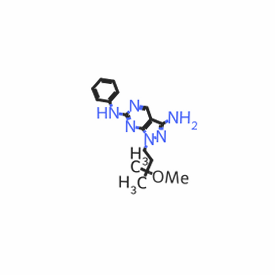 COC(C)(C)CCn1nc(N)c2cnc(Nc3ccccc3)nc21